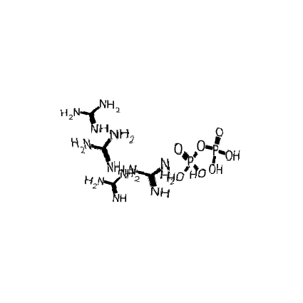 N=C(N)N.N=C(N)N.N=C(N)N.N=C(N)N.O=P(O)(O)OP(=O)(O)O